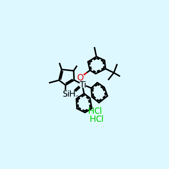 Cl.Cl.[CH2]=[Ti]([O]c1cc(C)cc(C(C)(C)C)c1)([C]1=C([SiH3])C(C)=C(C)C1C)([c]1ccccc1)[c]1ccccc1